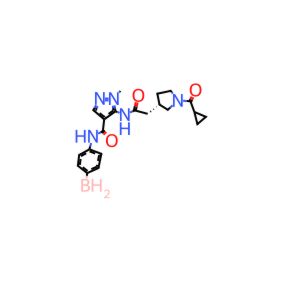 Bc1ccc(NC(=O)c2cnn(C)c2NC(=O)C[C@@H]2CCN(C(=O)C3CC3)C2)cc1